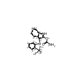 NC(=O)Oc1[nH]c2cnccc2c1Sc1ccccc1C(F)(F)F